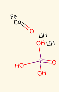 O=P(O)(O)O.[Fe].[LiH].[LiH].[O]=[Co]